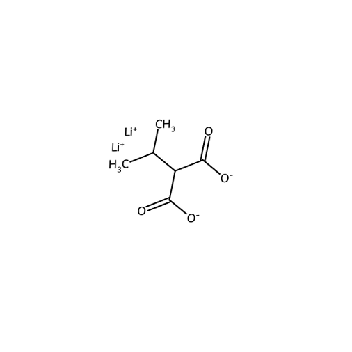 CC(C)C(C(=O)[O-])C(=O)[O-].[Li+].[Li+]